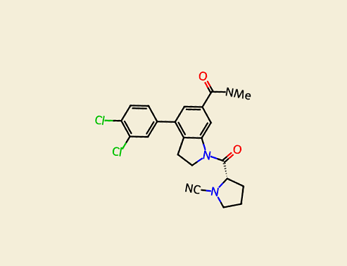 CNC(=O)c1cc(-c2ccc(Cl)c(Cl)c2)c2c(c1)N(C(=O)[C@@H]1CCCN1C#N)CC2